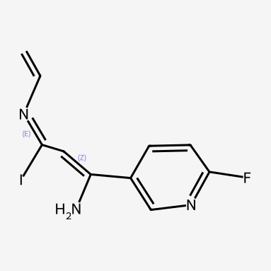 C=C/N=C(I)\C=C(/N)c1ccc(F)nc1